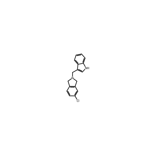 Clc1ccc2c(c1)CN(Cc1c[nH]c3ccccc13)C2